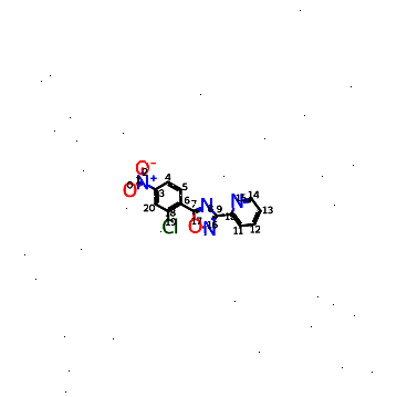 O=[N+]([O-])c1ccc(-c2nc(-c3ccccn3)no2)c(Cl)c1